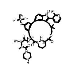 CCn1c(-c2cccnc2C(C)C)c2c3cc(ccc31)-c1cc(cc(O[Si](C(C)C)(C(C)C)C(C)C)c1)C[C@H](NC(=O)[C@H](C(C)C)N(C)C(=O)N1CCNCC1)C(=O)N1CCC[C@H](N1)C(=O)OCC(C)(C)C2